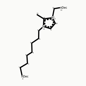 CCCCCCCCCCCCCCCCCn1cc[n+](CCCCCCCCCCC)c1C